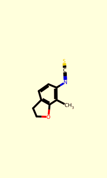 Cc1c(N=C=S)ccc2c1OCC2